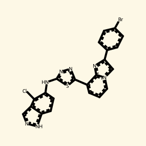 Clc1c(Nc2nnc(-c3cccn4cc(-c5ccc(Br)cc5)nc34)s2)ccc2[nH]ncc12